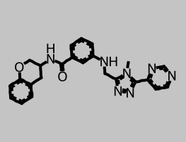 Cn1c(CNc2cccc(C(=O)NC3COc4ccccc4C3)c2)nnc1-c1ccncn1